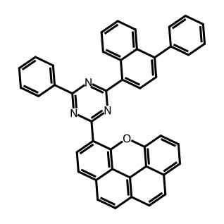 c1ccc(-c2nc(-c3ccc4ccc5ccc6cccc7c6c5c4c3O7)nc(-c3ccc(-c4ccccc4)c4ccccc34)n2)cc1